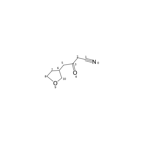 N#CCC(=O)CC1CCOC1